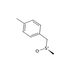 Cc1ccc(C[S@@+](C)[O-])cc1